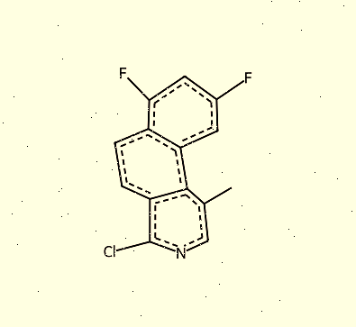 Cc1cnc(Cl)c2ccc3c(F)cc(F)cc3c12